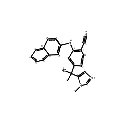 Cn1cncc1C(C)(O)c1ccc(C#N)c(Oc2ccc3ccccc3c2)c1